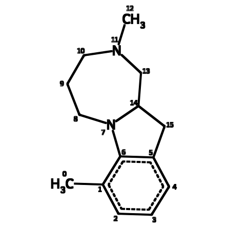 Cc1cccc2c1N1CCCN(C)CC1C2